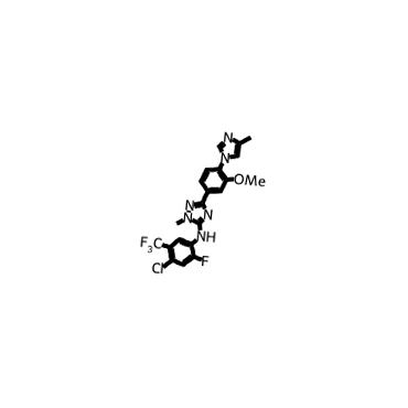 COc1cc(-c2nc(Nc3cc(C(F)(F)F)c(Cl)cc3F)n(C)n2)ccc1-n1cnc(C)c1